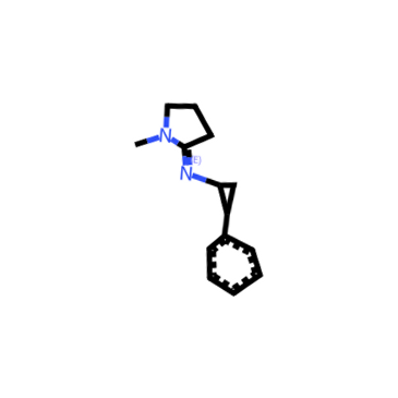 CN1CCC/C1=N\C1CC1c1ccccc1